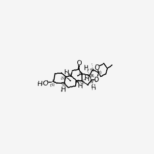 CC1CC[C@@]2(OC1)O[C@H]1C[C@H]3[C@@H]4CC[C@H]5C[C@@H](O)CC[C@]5(C)[C@H]4CC(=O)[C@]3(C)[C@H]1[C@@H]2C